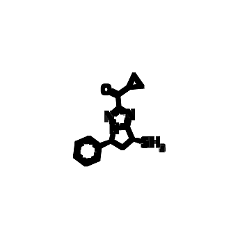 O=C(c1nc2n(n1)[C@H](c1ccccc1)C[C@@H]2[SiH3])C1CC1